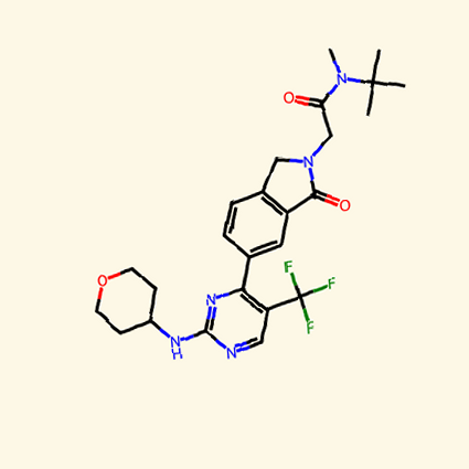 CN(C(=O)CN1Cc2ccc(-c3nc(NC4CCOCC4)ncc3C(F)(F)F)cc2C1=O)C(C)(C)C